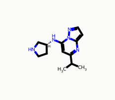 CC(C)c1cc(N[C@@H]2CCNC2)n2nccc2n1